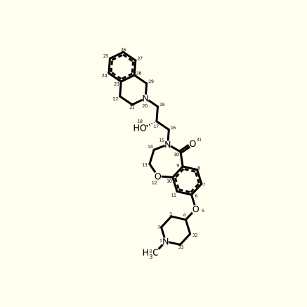 CN1CCC(Oc2ccc3c(c2)OCCN(C[C@H](O)CN2CCc4ccccc4C2)C3=O)CC1